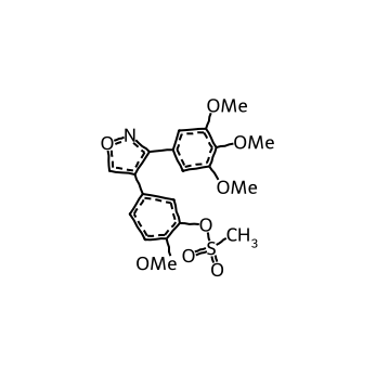 COc1ccc(-c2conc2-c2cc(OC)c(OC)c(OC)c2)cc1OS(C)(=O)=O